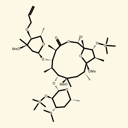 C=CCO[C@H]1[C@H](C)O[C@@H](O[C@H]2[C@H](C)[C@@H](O[C@@H]3O[C@H](C)C[C@H](N(C)C)[C@H]3O[Si](C)(C)C)[C@](C)(OC)C[C@@H](C)[C@]3(OC)O[C@@](C)([C@H](O[Si](C)(C)C)[C@H]3C)[C@@H](CC)OC(=O)[C@@H]2C)C[C@@]1(C)OC